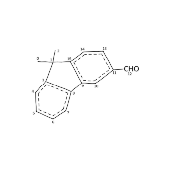 CC1(C)c2ccccc2-c2cc(C=O)ccc21